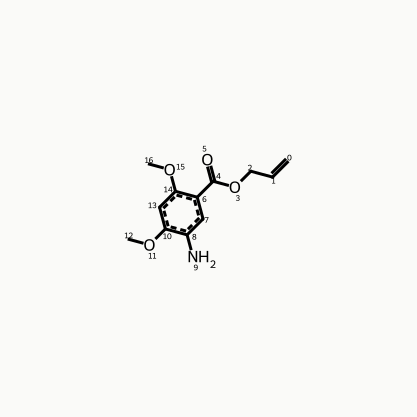 C=CCOC(=O)c1cc(N)c(OC)cc1OC